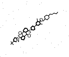 CCCCCC1CCC(COc2c(C)cc(-c3ccc(Sc4cccc5c4C(=O)c4cccc(Sc6ccc(C(C)(C)C)cn6)c4C5=O)cc3)cc2C)CC1